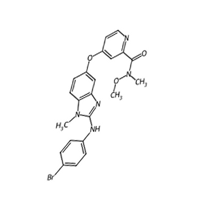 CON(C)C(=O)c1cc(Oc2ccc3c(c2)nc(Nc2ccc(Br)cc2)n3C)ccn1